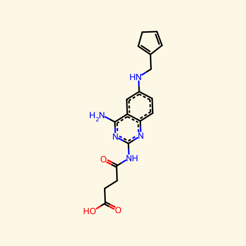 Nc1nc(NC(=O)CCC(=O)O)nc2ccc(NCC3=CCC=C3)cc12